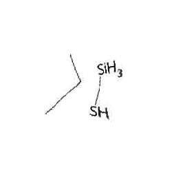 CCC.[SiH3]S